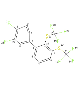 Fc1ccc(-c2cc[c]c(SC(F)(F)F)c2SC(F)(F)F)cc1F